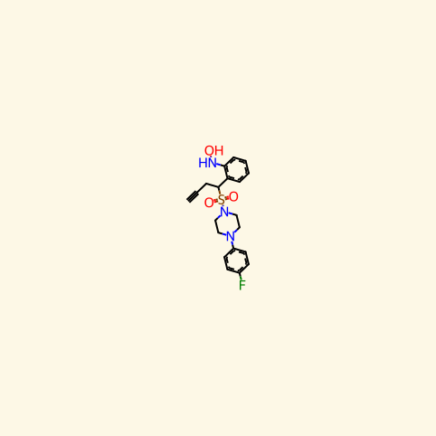 C#CCC(c1ccccc1NO)S(=O)(=O)N1CCN(c2ccc(F)cc2)CC1